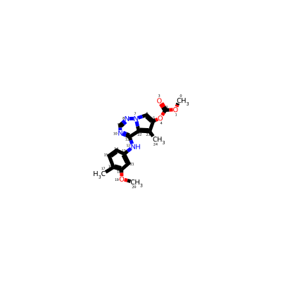 COC(=O)Oc1cn2ncnc(Nc3ccc(C)c(OC)c3)c2c1C